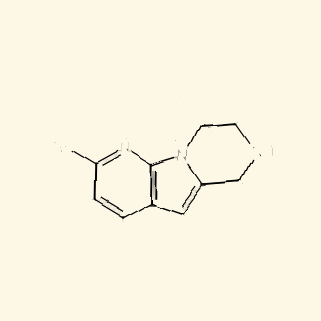 C[C@@H]1CNCc2cc3ccc(Br)nc3n21